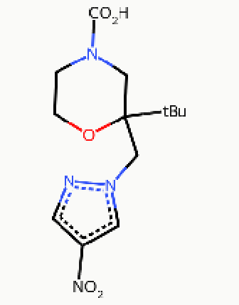 CC(C)(C)C1(Cn2cc([N+](=O)[O-])cn2)CN(C(=O)O)CCO1